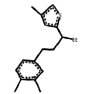 CCC(CCc1ccc(C)c(C)c1)c1cc(C)cs1